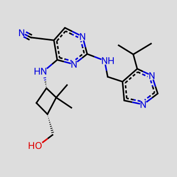 CC(C)c1ncncc1CNc1ncc(C#N)c(N[C@H]2C[C@@H](CO)C2(C)C)n1